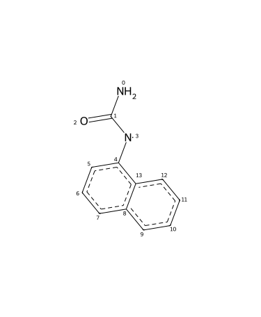 NC(=O)[N]c1cccc2ccccc12